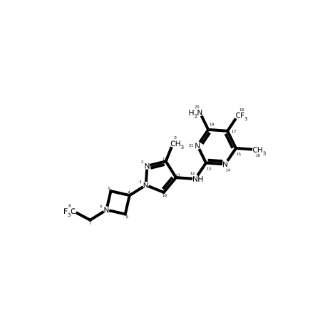 Cc1nn(C2CN(CC(F)(F)F)C2)cc1Nc1nc(C)c(C(F)(F)F)c(N)n1